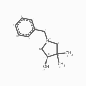 CC1(C)CN(Cc2ccccc2)C[C@@H]1O